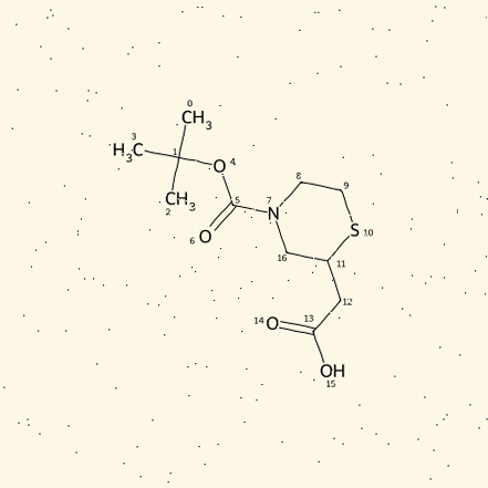 CC(C)(C)OC(=O)N1CCSC(CC(=O)O)C1